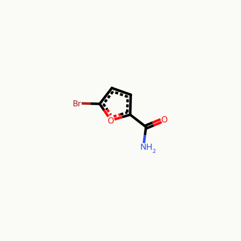 NC(=O)c1ccc(Br)o1